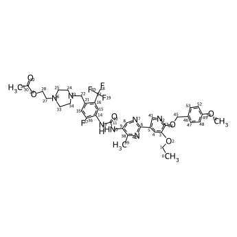 CCOc1cc(-c2ncc(NC(=O)Nc3cc(C(F)(F)F)c(CN4CCN(CCOC(C)=O)CC4)cc3F)c(C)n2)cnc1OCc1ccc(OC)cc1